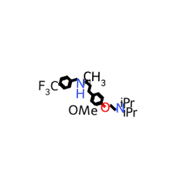 COc1cc(CC[C@@H](C)NCc2ccc(C(F)(F)F)cc2)ccc1OCCN(C(C)C)C(C)C